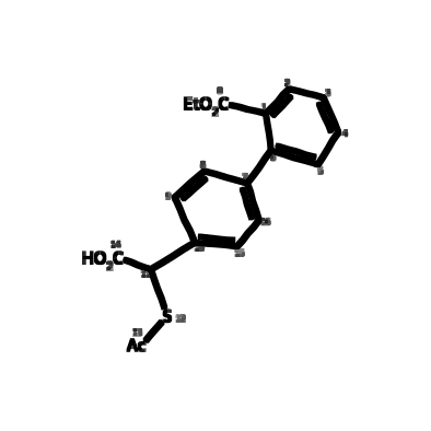 CCOC(=O)c1ccccc1-c1ccc(C(SC(C)=O)C(=O)O)cc1